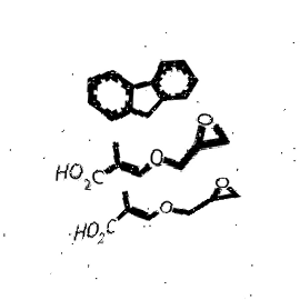 CC(=COCC1CO1)C(=O)O.CC(=COCC1CO1)C(=O)O.c1ccc2c(c1)Cc1ccccc1-2